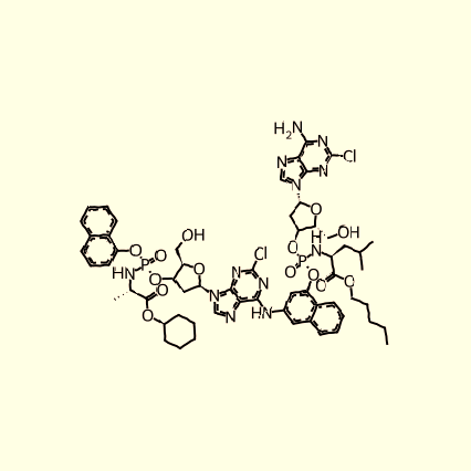 CCCCCOC(=O)[C@H](CC(C)C)NP(=O)(Oc1cc(Nc2nc(Cl)nc3c2ncn3[C@H]2CC(OP(=O)(N[C@@H](C)C(=O)OC3CCCCC3)Oc3cccc4ccccc34)[C@@H](CO)O2)cc2ccccc12)OC1C[C@H](n2cnc3c(N)nc(Cl)nc32)O[C@@H]1CO